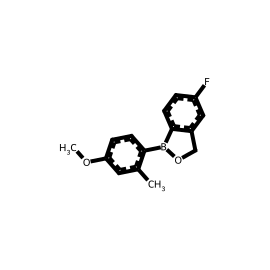 COc1ccc(B2OCc3cc(F)ccc32)c(C)c1